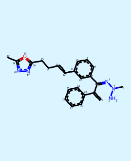 C=C(/C(=N\N(C)N)c1cccc(/C=C/CCc2nnc(C)o2)c1)c1ccccc1